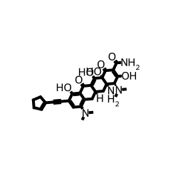 CN(C)c1cc(C#CC2=CCCC2)c(O)c2c1C[C@H]1C[C@@]3(N)[C@H](N(C)C)C(O)=C(C(N)=O)C(=O)[C@@]3(O)C(O)=C1C2=O